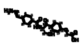 NN=Cc1ccc(C(=O)N[C@@H](CO)C(=O)c2ccc(OCC(=O)O)cc2)cc1